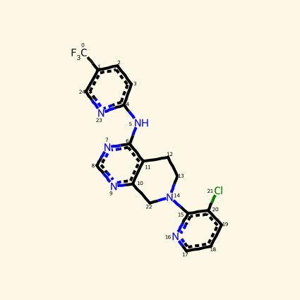 FC(F)(F)c1ccc(Nc2ncnc3c2CCN(c2ncccc2Cl)C3)nc1